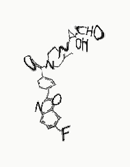 CC1CN(C(=O)c2ccc(-c3nc4ccc(F)cc4o3)cc2)CCN1C1C[C@@]1(O)C=O